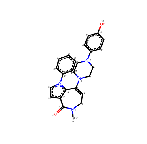 CCCN1CC=C(N2CCN(c3ccc(O)cc3)CC2)c2c(ccn2-c2ccccc2)C1=O